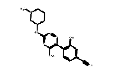 C#Cc1ccc(-c2nnc(NC3CCCN(C)C3)nc2OC)c(O)c1